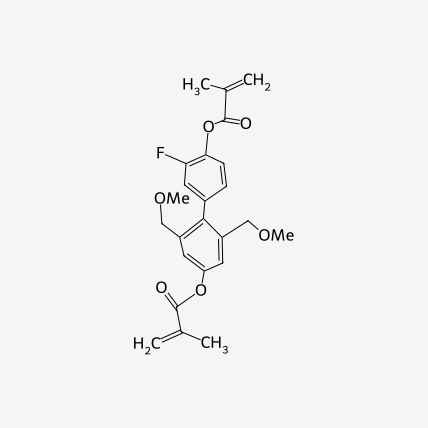 C=C(C)C(=O)Oc1cc(COC)c(-c2ccc(OC(=O)C(=C)C)c(F)c2)c(COC)c1